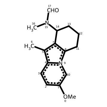 COc1ccc2c(C)c3c(n2c1)CCCC3N(C)C=O